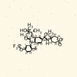 C[C@H](n1c(=O)n(-c2cc(OC(F)(F)F)ccc2F)c2ccc(C(=O)NC3(C)CCS(=O)(=O)CC3)cc21)C(C)(C)O